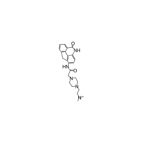 CN(C)CCN1CCN(CC(=O)Nc2ccc3[nH]c(=O)c4cccc5c4c3c2C5)CC1